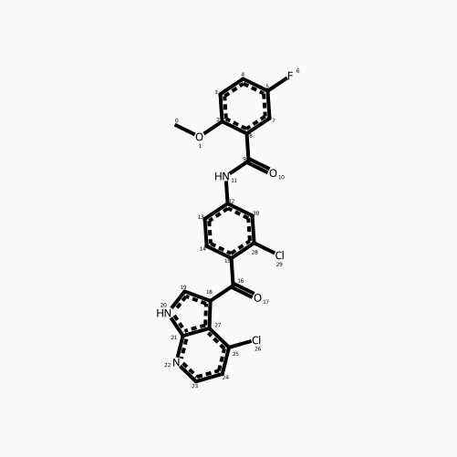 COc1ccc(F)cc1C(=O)Nc1ccc(C(=O)c2c[nH]c3nccc(Cl)c23)c(Cl)c1